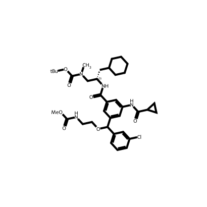 COC(=O)NCCOC(c1cccc(Cl)c1)c1cc(NC(=O)C2CC2)cc(C(=O)N[C@@H](CC2CCCCC2)CN(C)C(=O)OC(C)(C)C)c1